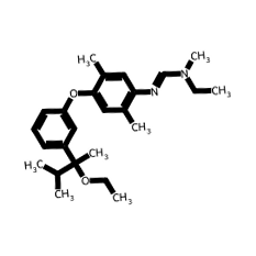 CCOC(C)(c1cccc(Oc2cc(C)c(N=CN(C)CC)cc2C)c1)C(C)C